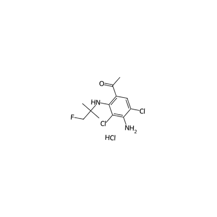 CC(=O)c1cc(Cl)c(N)c(Cl)c1NC(C)(C)CF.Cl